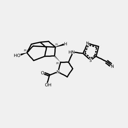 N#Cc1cnc(NC2CCN(C(=O)O)[C@@H]2C2C3CC4C[C@H]2C[C@@](O)(C4)C3)s1